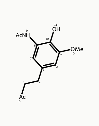 COc1cc(CCC(C)=O)cc(NC(C)=O)c1O